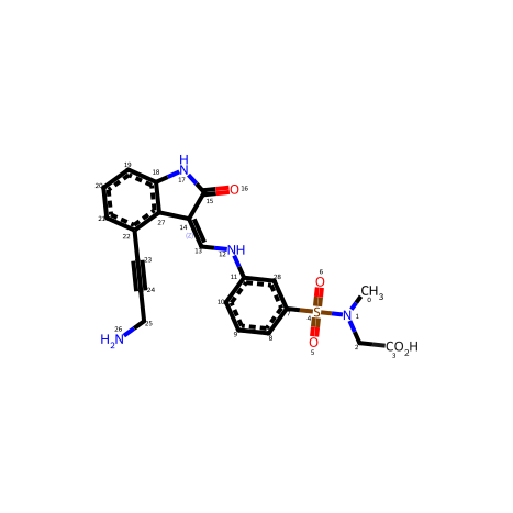 CN(CC(=O)O)S(=O)(=O)c1cccc(N/C=C2\C(=O)Nc3cccc(C#CCN)c32)c1